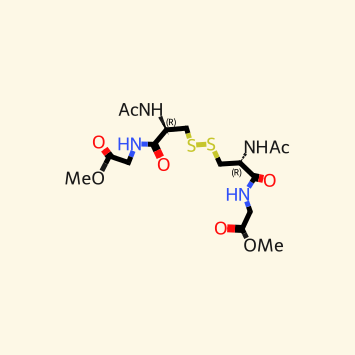 COC(=O)CNC(=O)[C@H](CSSC[C@H](NC(C)=O)C(=O)NCC(=O)OC)NC(C)=O